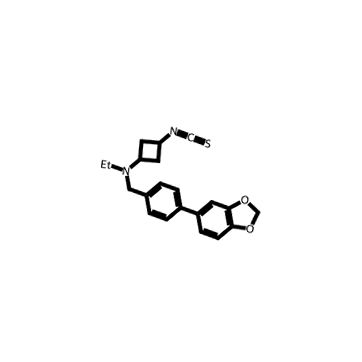 CCN(Cc1ccc(-c2ccc3c(c2)OCO3)cc1)C1CC(N=C=S)C1